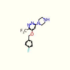 Fc1ccc(COc2cc(N3CCNCC3)nnc2C(F)(F)F)cc1